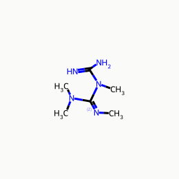 C/N=C(/N(C)C)N(C)C(=N)N